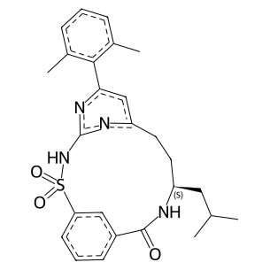 Cc1cccc(C)c1-c1cc2nc(n1)NS(=O)(=O)c1cccc(c1)C(=O)N[C@H](CC(C)C)CC2